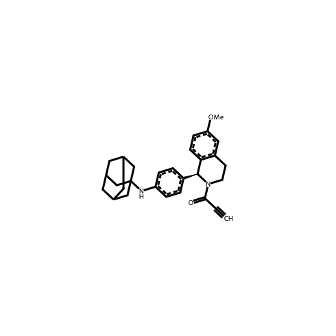 C#CC(=O)N1CCc2cc(OC)ccc2[C@@H]1c1ccc(NC23CC4CC(CC(C4)C2)C3)cc1